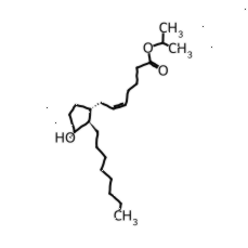 CCCCCCCC[C@@H]1[C@@H](C/C=C\CCCC(=O)OC(C)C)CC[C@H]1O